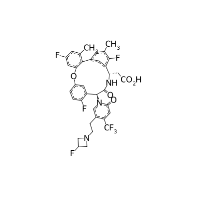 Cc1cc2cc(c1F)[C@H](CC(=O)O)NC(=O)[C@@H](n1cc(CCN3CC(F)C3)c(C(F)(F)F)cc1=O)c1cc(ccc1F)Oc1cc(F)cc(C)c1-2